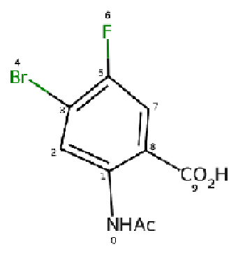 CC(=O)Nc1cc(Br)c(F)cc1C(=O)O